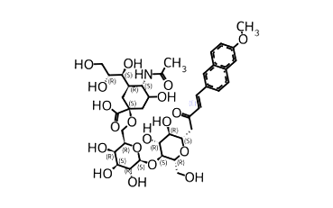 COc1ccc2cc(/C=C/C(=O)C[C@@H]3O[C@H](CO)[C@@H](O[C@@H]4O[C@H](CO[C@]5(C(=O)O)CC(O)[C@@H](NC(C)=O)[C@H]([C@H](O)[C@H](O)CO)C5)[C@H](O)[C@H](O)[C@H]4O)[C@H](O)[C@H]3O)ccc2c1